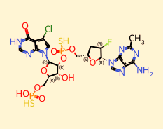 Cc1nc(N)c2ncn([C@@H]3O[C@H](COP(=O)(S)O[C@@H]4[C@H](O)[C@@H](COP(=O)(O)S)O[C@H]4n4cc(Cl)c5c(=O)[nH]cnc54)C[C@H]3F)c2n1